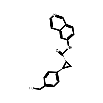 O=C(Nc1ccc2cnccc2c1)[C@@H]1C[C@H]1c1ccc(CO)cc1